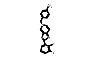 Fc1c(Cl)cccc1-c1nc2ccn(Cc3ccc(C(F)(F)F)cc3)cc-2n1